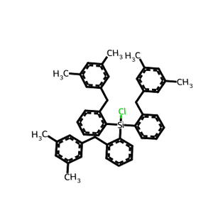 Cc1cc(C)cc(Cc2ccccc2[Si](Cl)(c2ccccc2Cc2cc(C)cc(C)c2)c2ccccc2Cc2cc(C)cc(C)c2)c1